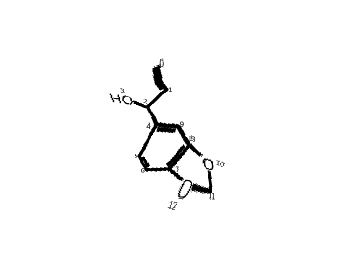 C=CC(O)c1ccc2c(c1)OCO2